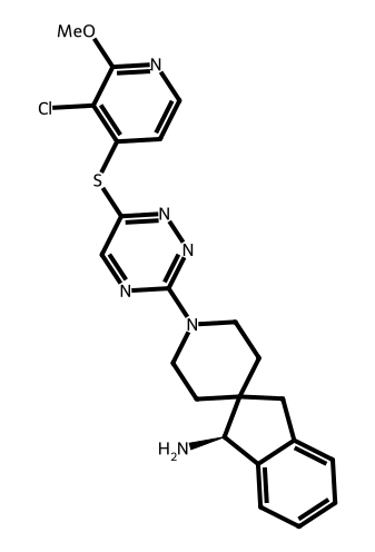 COc1nccc(Sc2cnc(N3CCC4(CC3)Cc3ccccc3[C@H]4N)nn2)c1Cl